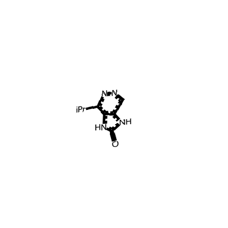 CC(C)c1nncc2[nH]c(=O)[nH]c12